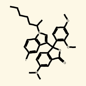 CCCCCC(C)n1cc(C2(c3ccc(OC)cc3OC)OC(=O)c3cc(N(C)C)ccc32)c2cc(I)ccc21